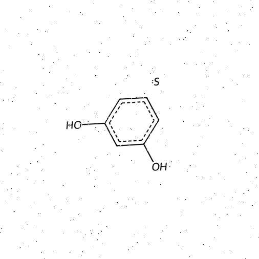 Oc1cccc(O)c1.[S]